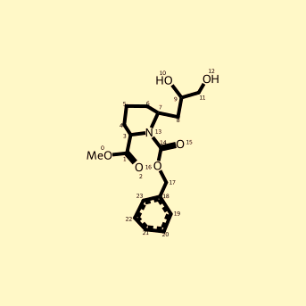 COC(=O)C1CCCC(CC(O)CO)N1C(=O)OCc1ccccc1